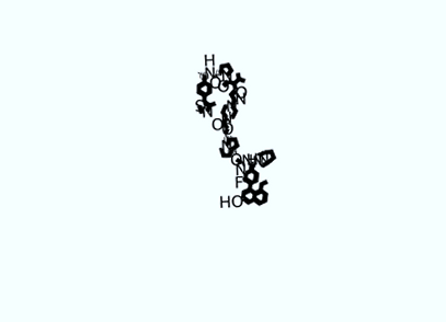 CCc1cccc2cc(O)cc(-c3ccc4c(N5CC6CCC(C5)N6)nc(OC[C@]56CCCN5[C@H](COC(=O)N5CCN(c7cc(C(C(=O)N8CCC[C@H]8C(=O)N[C@@H](C)c8ccc(-c9scnc9C)cc8)C(C)C)on7)CC5)CC6)nc4c3F)c12